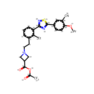 CCc1c(CCN2CC(C(=O)OC(=O)C(F)(F)F)C2)cccc1-c1nsc(-c2ccc(OC(C)C)c(C#N)c2)n1